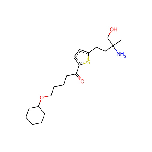 CC(N)(CO)CCc1ccc(C(=O)CCCCOC2CCCCC2)s1